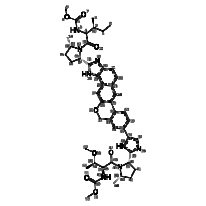 CC[C@H](C)C(NC(=O)OC)C(=O)N1[C@@H](C)CC[C@H]1c1nc2ccc3cc4c(cc3c2[nH]1)OCc1cc(-c2cnc([C@@H]3CC[C@H](C)N3C(=O)[C@@H](NC(=O)OC)[C@@H](C)OC)[nH]2)ccc1-4